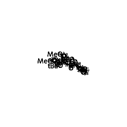 COc1ccc(COC(=O)[C@@H]2C(Cc3ccnc(N(Cc4ccc(OC)cc4)C(=O)OC(C)(C)C)c3)C(=O)N2C(=O)N[C@H](C)c2ccc3c(c2)OC(F)(F)O3)cc1